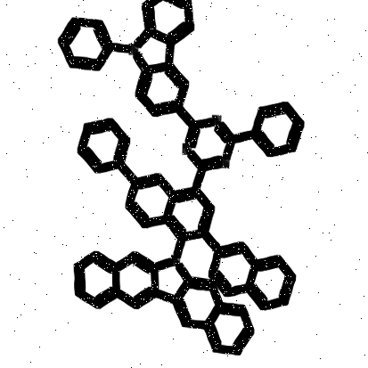 c1ccc(-c2ccc3c(-n4c5cc6ccccc6cc5c5cc6ccccc6cc54)c(-c4ccc5ccccc5c4)cc(-c4nc(-c5ccccc5)nc(-c5ccc6c(c5)c5ccccc5n6-c5ccccc5)n4)c3c2)cc1